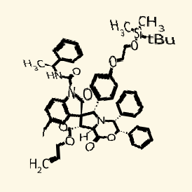 C=CCOC(=O)[C@H]1[C@@H]2C(=O)O[C@@H](c3ccccc3)[C@@H](c3ccccc3)N2[C@@H](c2ccc(OCCO[Si](C)(C)C(C)(C)C)cc2)[C@]12C(=O)N(C(=O)N[C@@H](C)c1ccccc1)c1ccc(I)cc12